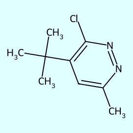 Cc1cc(C(C)(C)C)c(Cl)nn1